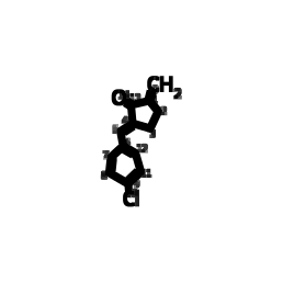 C=C1CC/C(=C\c2ccc(Cl)cc2)C1=O